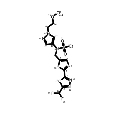 CCS(=O)(=O)N(Cc1cnc(-c2nnc(C(F)F)o2)s1)c1cnn(CCOC(F)(F)F)c1